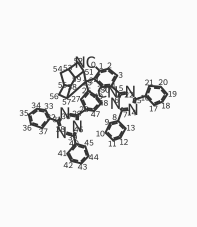 N#Cc1ccc(-c2nc(-c3ccccc3)nc(-c3ccccc3)n2)cc1C1(c2cc(-c3nc(-c4ccccc4)nc(-c4ccccc4)n3)ccc2C#N)C2CC3CC4CC1C4C32